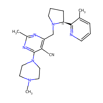 Cc1nc(CN2CCC[C@H]2c2ncccc2C)c(C#N)c(N2CCN(C)CC2)n1